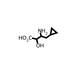 NC(CC1CC1)C(O)C(=O)O